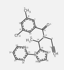 C#CCN(C(=O)c1cc(C)cc(Cl)c1)C(C)c1ncnn1-c1ncccn1